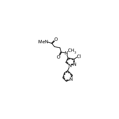 CNC(=O)CCC(=O)N(C)c1cn(-c2cccnc2)nc1Cl